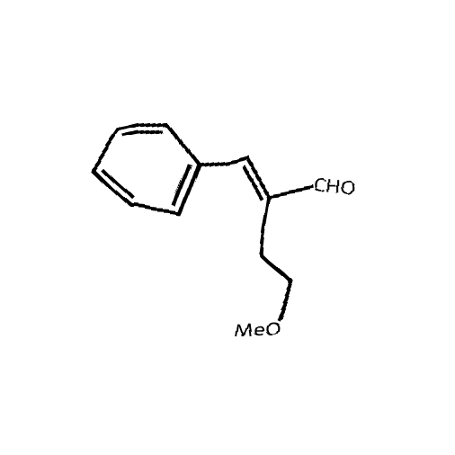 COCC/C(C=O)=C\c1ccccc1